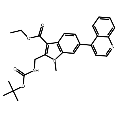 CCOC(=O)c1c(CNC(=O)OC(C)(C)C)n(C)c2cc(-c3ccnc4ccccc34)ccc12